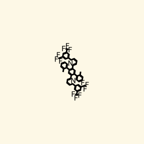 Cc1ccccc1-c1cc(-c2cccc(-c3cc(C(F)(F)F)cc(C(F)(F)F)c3)n2)c(-c2ccccc2C)cc1-c1cccc(-c2cc(C(F)(F)F)cc(C(F)(F)F)c2)n1